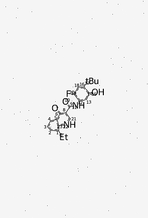 CCc1cccc2c(=O)c(C(=O)Nc3cc(O)c(C(C)(C)C)cc3F)c[nH]c12